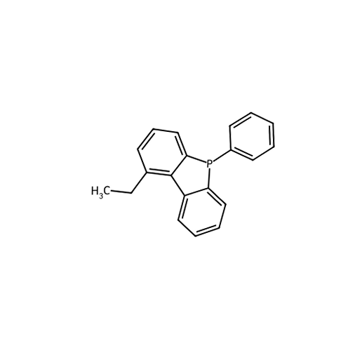 CCc1cccc2c1c1ccccc1p2-c1ccccc1